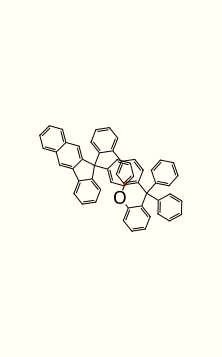 c1ccc(C2(c3ccccc3)c3ccccc3Oc3cc(-c4ccccc4C4(c5ccccc5)c5ccccc5-c5cc6ccccc6cc54)ccc32)cc1